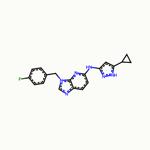 Fc1ccc(Cn2cnc3ccc(Nc4cc(C5CC5)[nH]n4)nc32)cc1